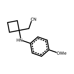 COc1ccc(NC2(CC#N)CCC2)cc1